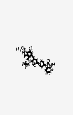 CCn1ncc2c3c(cc(Cl)c21)CC(CC(=O)N1CCC(n2c(=O)[nH]c4ncccc42)CC1)C(=O)N(CC(F)(F)F)C3